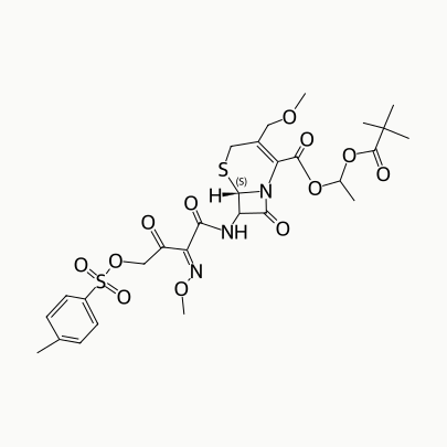 COCC1=C(C(=O)OC(C)OC(=O)C(C)(C)C)N2C(=O)C(NC(=O)C(=NOC)C(=O)COS(=O)(=O)c3ccc(C)cc3)[C@@H]2SC1